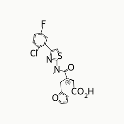 CN(C(=O)[C@@H](CC(=O)O)Cc1ccco1)c1nc(-c2cc(F)ccc2Cl)cs1